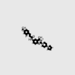 COc1ccc(C=CC(=O)Nc2ccc3nc(N4CCC(N5CCCC5)CC4)nc(C)c3c2)c(F)c1